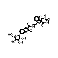 O=C1NC(=O)C(CCCCNC(=O)c2cc3ccc([C@@H]4O[C@H](CO)[C@H](O)[C@H](O)[C@H]4O)cc3oc2=O)(c2ccccc2)C(=O)N1